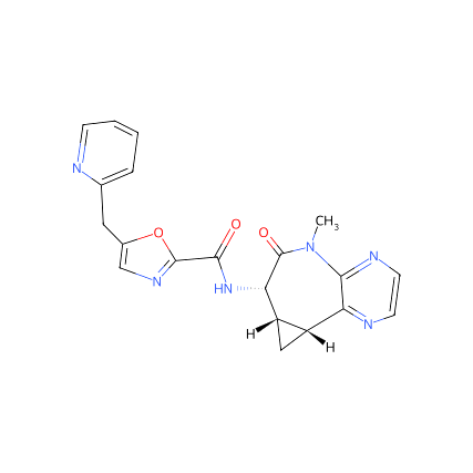 CN1C(=O)[C@@H](NC(=O)c2ncc(Cc3ccccn3)o2)[C@H]2C[C@H]2c2nccnc21